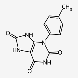 Cc1ccc(-n2c(=O)[nH]c(=O)c3[nH]c(=O)[nH]c32)cc1